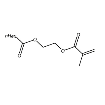 C=C(C)C(=O)OCCOC(=O)CCCCCC